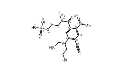 [CH2]CN(CCBr)c1cc(C(=O)N(C)CCOP(=O)(O)O)c([N+](=O)[O-])cc1C#N